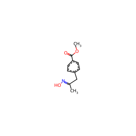 COC(=O)c1ccc(CC(C)=NO)cc1